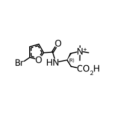 C[N+](C)(C)C[C@@H](CC(=O)O)NC(=O)c1ccc(Br)o1